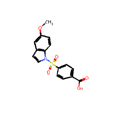 COc1ccc2c(ccn2S(=O)(=O)c2ccc(C(=O)O)cc2)c1